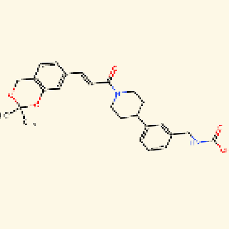 CC1(C)OCc2ccc(C=CC(=O)N3CCC(c4cccc(CNC(=O)O)c4)CC3)cc2O1